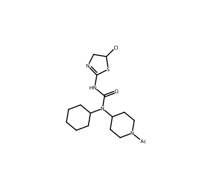 CC(=O)N1CCC(N(C(=O)NC2=NCC(Cl)S2)C2CCCCC2)CC1